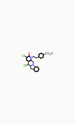 O=C(O)c1ccc(CCn2c3c(cc(Cl)c2=O)C(Cl)C2Cc4ccccc4N2C3)cc1